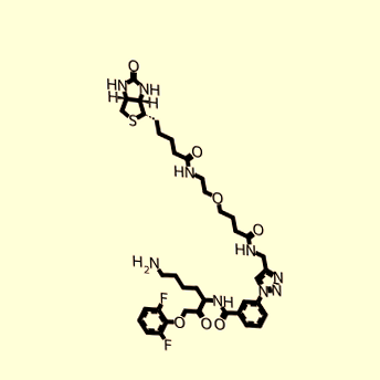 NCCCCC(NC(=O)c1cccc(-n2cc(CNC(=O)CCCOCCNC(=O)CCCC[C@@H]3SC[C@@H]4NC(=O)N[C@@H]43)nn2)c1)C(=O)COc1c(F)cccc1F